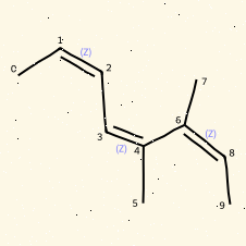 C\C=C/C=C(C)\C(C)=C/C